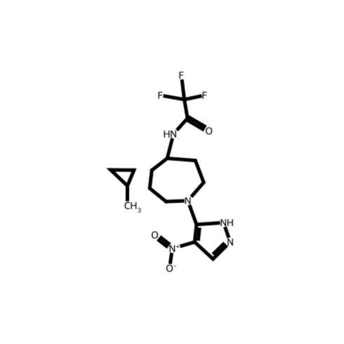 CC1CC1.O=C(NC1CCCN(c2[nH]ncc2[N+](=O)[O-])CC1)C(F)(F)F